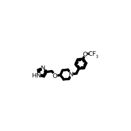 FC(F)(F)Oc1ccc(CN2CCC(OCc3c[nH]cn3)CC2)cc1